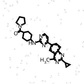 Cc1nc(C2CC2)nc2ccc(-c3ccnc(NC4CCC(C(=O)N5CCCC5)CC4)n3)cc12